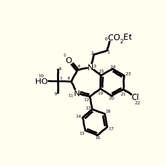 CCOC(=O)CCN1C(=O)C(C(C)(C)O)N=C(c2ccccc2)c2cc(Cl)ccc21